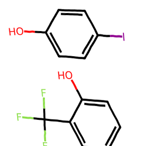 Oc1ccc(I)cc1.Oc1ccccc1C(F)(F)F